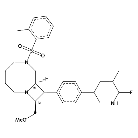 COC[C@@H]1C(c2ccc(C3CNC(F)C(C)C3)cc2)[C@@H]2CN(S(=O)(=O)c3ccccc3C)CCCCN12